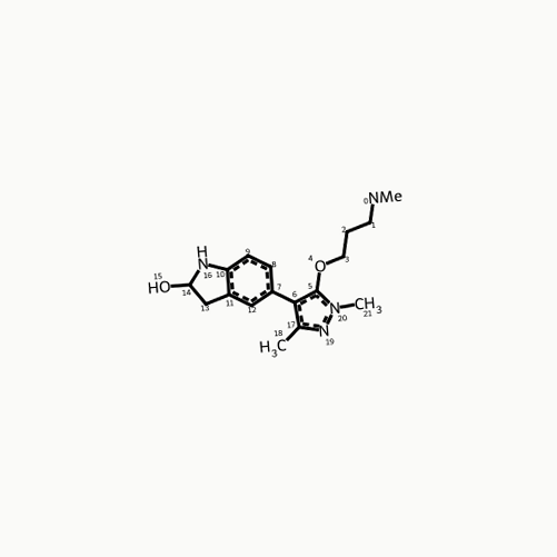 CNCCCOc1c(-c2ccc3c(c2)CC(O)N3)c(C)nn1C